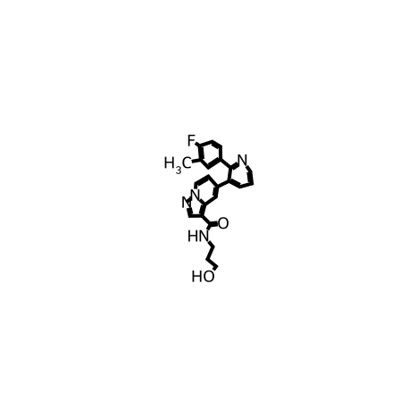 Cc1cc(-c2ncccc2-c2ccn3ncc(C(=O)NCCCO)c3c2)ccc1F